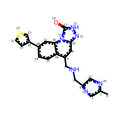 Cc1cnc(CNCc2cc3n[nH]c(=O)n3c3cc(-c4ccsc4)ccc23)cn1